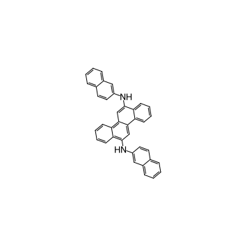 c1ccc2cc(Nc3cc4c5ccccc5c(Nc5ccc6ccccc6c5)cc4c4ccccc34)ccc2c1